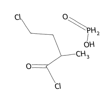 CC(CCCl)C(=O)Cl.O=[PH2]O